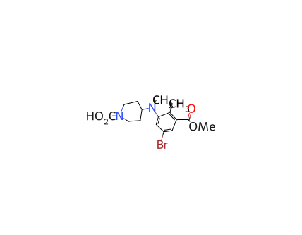 COC(=O)c1cc(Br)cc(N(C)C2CCN(C(=O)O)CC2)c1C